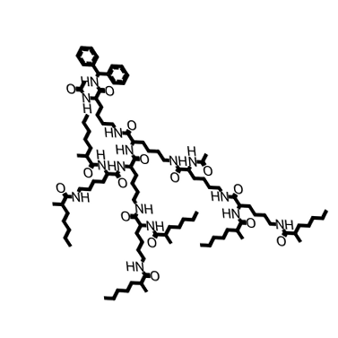 CCCCCC(C)C(=O)NCCCCC(NC(=O)C(C)CCCCC)C(=O)NCCCCC(NC(C)=O)C(=O)NCCCCC(NC(=O)C(CCCCNC(=O)C(CCCCNC(=O)C(C)CCCCC)NC(=O)C(C)CCCCC)NC(=O)C(CCCCNC(=O)C(C)CCCCC)NC(=O)C(C)CCCCC)C(=O)NCCCCC(NC(C)=O)C(=O)NC(c1ccccc1)c1ccccc1